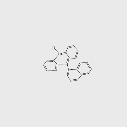 Clc1c2ccccc2c(-c2cccc3ccccc23)c2ccccc12